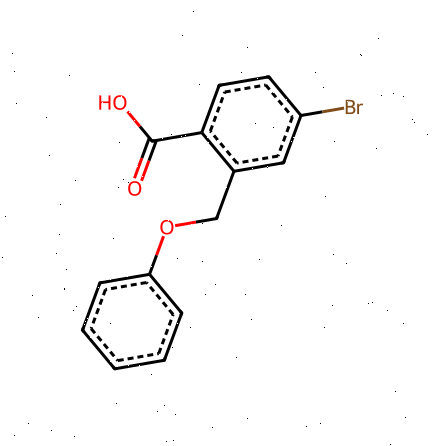 O=C(O)c1ccc(Br)cc1COc1ccccc1